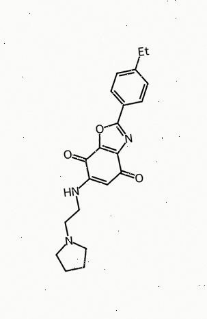 CCc1ccc(-c2nc3c(o2)C(=O)C(NCCN2CCCC2)=CC3=O)cc1